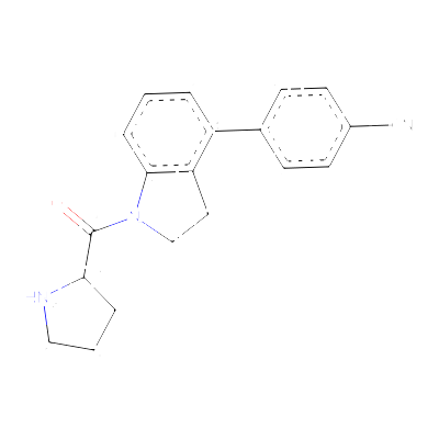 N#Cc1ccc(-c2cccc3c2CCN3C(=O)C2CCCN2)cc1